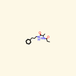 CCC(=O)NC(C)C(=O)NCCCc1ccccc1